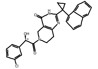 O=C([C@H](O)c1cccc(Cl)c1)N1CCc2nc(C3(c4cccc5ccccc45)CC3)[nH]c(=O)c2C1